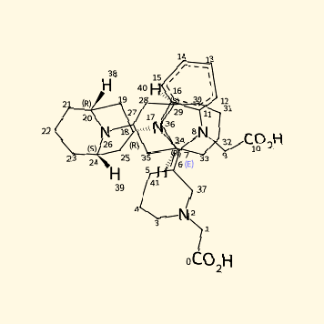 O=C(O)CN1CCC/C(=C2/N(CC(=O)O)c3ccccc3N2[C@H]2C[C@H]3CCC[C@@H](C2)N3C2C[C@H]3CCCC[C@@H](C2)C3)C1